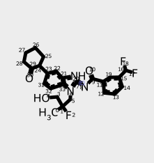 CC(F)(CO)Cn1/c(=N/C(=O)c2cccc(C(F)F)c2)[nH]c2cc(C3CCCCC3=O)ccc21